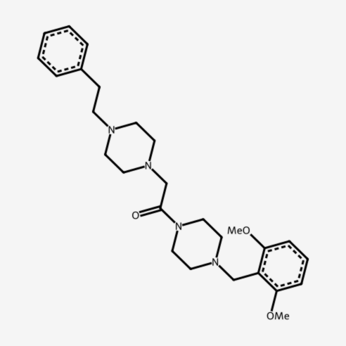 COc1cccc(OC)c1CN1CCN(C(=O)CN2CCN(CCc3ccccc3)CC2)CC1